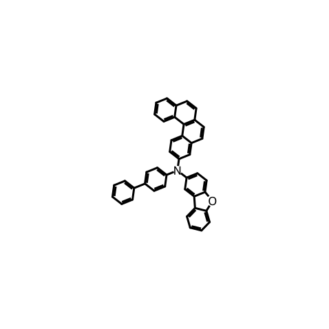 c1ccc(-c2ccc(N(c3ccc4c(ccc5ccc6ccccc6c54)c3)c3ccc4oc5ccccc5c4c3)cc2)cc1